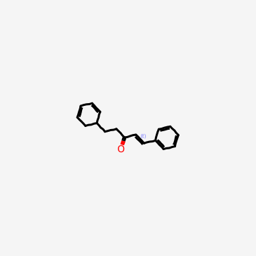 O=C(/C=C/c1ccccc1)CCC1C=CC=CC1